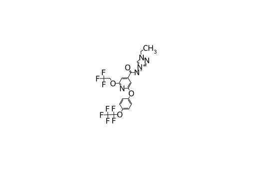 CCn1c[n+]([N-]C(=O)c2cc(OCC(F)(F)F)nc(Oc3ccc(OC(F)(F)C(F)(F)F)cc3)c2)cn1